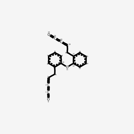 O=C=C=CCc1ccccc1Oc1ccccc1CC=C=C=O